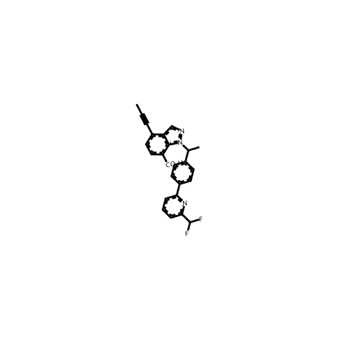 CC#Cc1ccc(C(=O)O)c2c1cnn2C(C)c1ccc(-c2cccc(C(F)F)n2)cc1